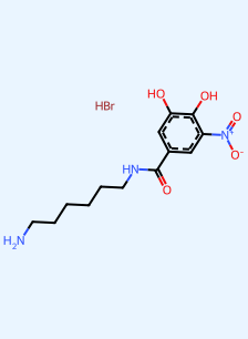 Br.NCCCCCCNC(=O)c1cc(O)c(O)c([N+](=O)[O-])c1